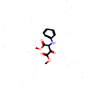 COC(=O)C(=O)C(Nc1ccccc1)C(=O)OC